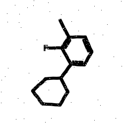 Cc1cccc(C2CCCCC2)c1F